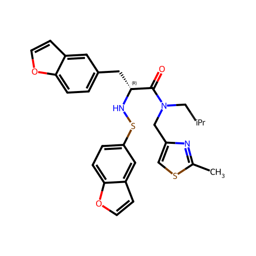 Cc1nc(CN(CC(C)C)C(=O)[C@@H](Cc2ccc3occc3c2)NSc2ccc3occc3c2)cs1